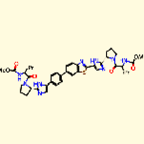 COC(=O)NC(C(=O)N1CCC[C@H]1c1ncc(-c2nc3ccc(-c4ccc(-c5cnc([C@@H]6CCCN6C(=O)[C@@H](NC(=O)OC)C(C)C)[nH]5)cc4)cc3s2)[nH]1)C(C)C